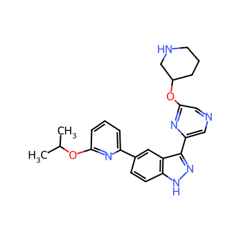 CC(C)Oc1cccc(-c2ccc3[nH]nc(-c4cncc(OC5CCCNC5)n4)c3c2)n1